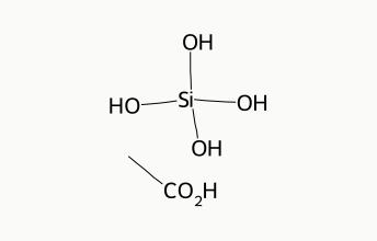 CC(=O)O.O[Si](O)(O)O